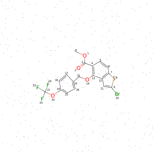 COC(=O)c1ccc2sc(Br)cc2c1OCc1ccc(OC(F)(F)F)cc1